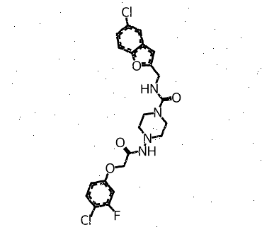 O=C(COc1ccc(Cl)c(F)c1)NN1CCN(C(=O)NCc2cc3cc(Cl)ccc3o2)CC1